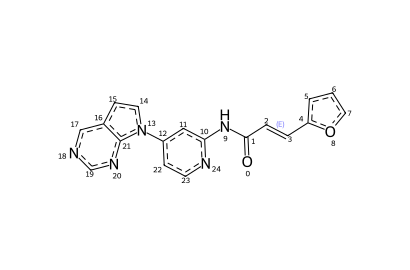 O=C(/C=C/c1ccco1)Nc1cc(-n2ccc3cncnc32)ccn1